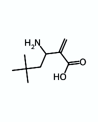 C=C(C(=O)O)C(N)CC(C)(C)C